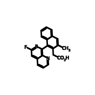 Cc1cc2ccccc2c(-c2bc(F)cc3cccnc23)c1CC(=O)O